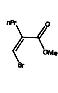 CCCC(=CBr)C(=O)OC